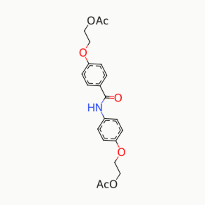 CC(=O)OCCOc1ccc(NC(=O)c2ccc(OCCOC(C)=O)cc2)cc1